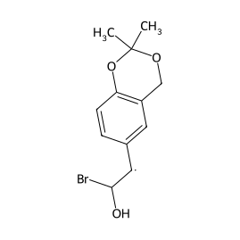 CC1(C)OCc2cc([CH]C(O)Br)ccc2O1